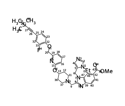 CCn1cncc1Cn1c(CN2CCC(Oc3cccc(COc4ccc(C#C[Si](C)(C)C)cc4F)n3)CC2)nc2ccc(C(=O)OC)cc21